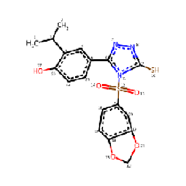 CC(C)c1cc(-c2nnc(S)n2S(=O)(=O)c2ccc3c(c2)OCO3)ccc1O